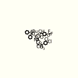 C[C@@H]1Cc2nn3c(c2CN1C(=O)c1ccc(Cl)c(Cl)c1)C(=O)N([C@@H](C)c1ccc(OC(F)F)cc1)C[C@H]3CO[Si](c1ccccc1)(c1ccccc1)C(C)(C)C